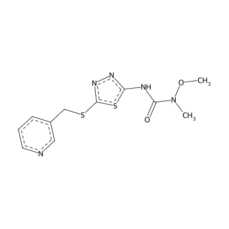 CON(C)C(=O)Nc1nnc(SCc2cccnc2)s1